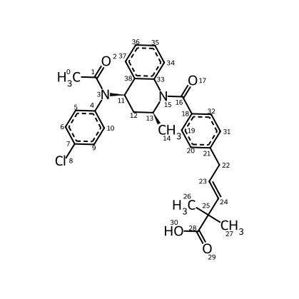 CC(=O)N(c1ccc(Cl)cc1)[C@@H]1C[C@H](C)N(C(=O)c2ccc(C/C=C/C(C)(C)C(=O)O)cc2)c2ccccc21